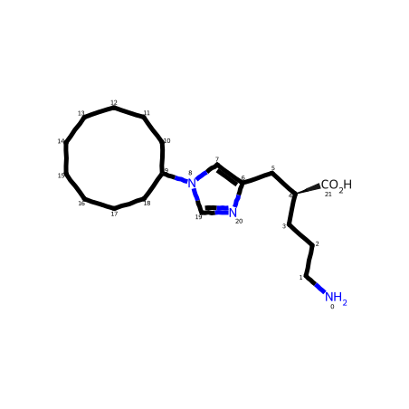 NCCC[C@@H](Cc1cn(C2CCCCCCCCC2)cn1)C(=O)O